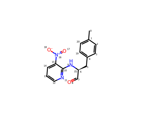 Cc1ccc(C[C@@H](C=O)Nc2ncccc2[N+](=O)[O-])cc1